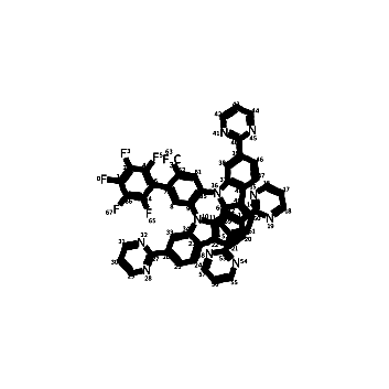 Fc1c(F)c(F)c(-c2cc(-n3c4cc(-c5ncccn5)ccc4c4ccc(-c5ncccn5)cc43)c(-n3c4cc(-c5ncccn5)ccc4c4ccc(-c5ncccn5)cc43)cc2C(F)(F)F)c(F)c1F